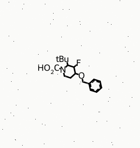 CC(C)(C)C1C(F)C(OCc2ccccc2)CCN1C(=O)O